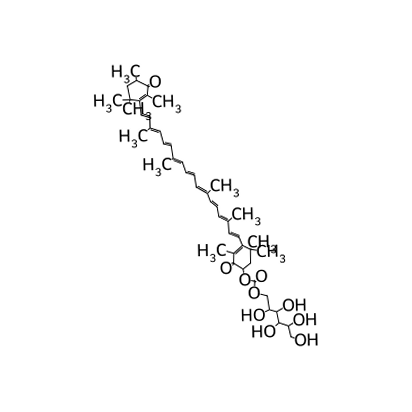 CC1=C(/C=C/C(C)=C/C=C/C(C)=C/C=C/C=C(C)/C=C/C=C(C)/C=C/C2=C(C)C(=O)C(OC(=O)OCC(O)C(O)C(O)C(O)CO)CC2(C)C)C(C)(C)CC(C)C1=O